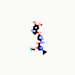 COc1cc2nccc(Oc3ccc(NC(=O)c4nn(C5CC5)cc4OCC(F)(F)F)nn3)c2cc1OC